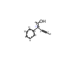 CC#C/C(=N\O)c1ccccc1